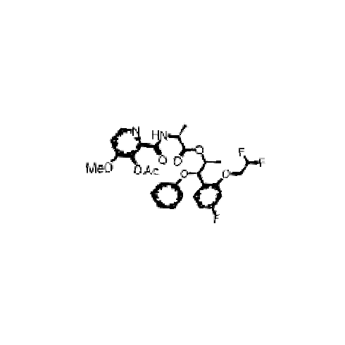 COc1ccnc(C(=O)N[C@@H](C)C(=O)O[C@@H](C)[C@H](Oc2ccccc2)c2ccc(F)cc2OCC(F)F)c1OC(C)=O